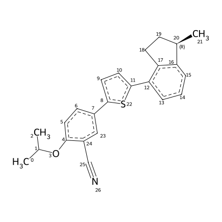 CC(C)Oc1ccc(-c2ccc(-c3cccc4c3CC[C@H]4C)s2)cc1C#N